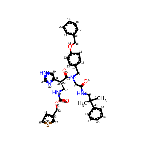 CC(C)(CNC(=O)CN(Cc1ccc(OCc2ccccc2)cc1)C(=O)[C@@H](CNC(=O)OCc1ccsc1)c1c[nH]cn1)c1ccccc1